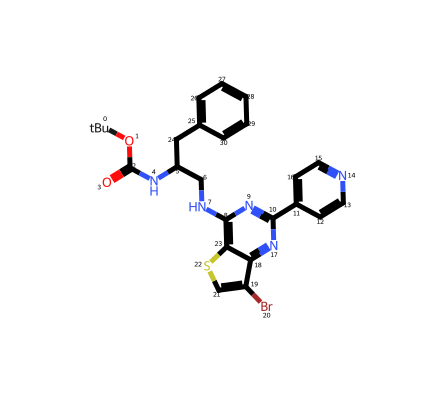 CC(C)(C)OC(=O)NC(CNc1nc(-c2ccncc2)nc2c(Br)csc12)Cc1ccccc1